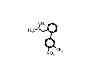 CN(C)Cc1ccccc1-c1ccc([N+](=O)[O-])c(C(F)(F)F)c1